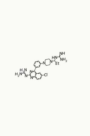 CCC(NC(=N)N)N1CCN(c2cccc(-c3nc(N=C(N)N)nc4ccc(Cl)cc34)c2)CC1